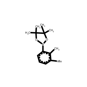 CCCCc1cccc(B2OC(C)(C)C(C)(C)O2)c1C